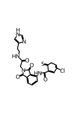 O=C(CN1C(=O)c2cccc(NC(=O)C3=CC(Cl)=CCC3=S)c2C1=O)NCCc1c[nH]cn1